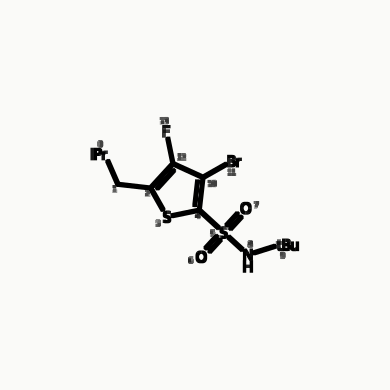 CC(C)Cc1sc(S(=O)(=O)NC(C)(C)C)c(Br)c1F